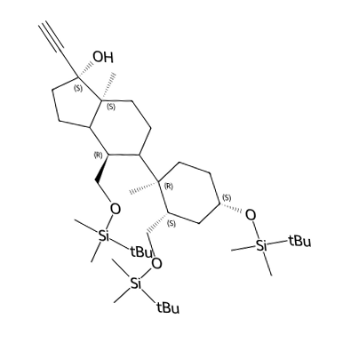 C#C[C@]1(O)CCC2[C@H](CO[Si](C)(C)C(C)(C)C)C([C@@]3(C)CC[C@H](O[Si](C)(C)C(C)(C)C)C[C@@H]3CO[Si](C)(C)C(C)(C)C)CC[C@@]21C